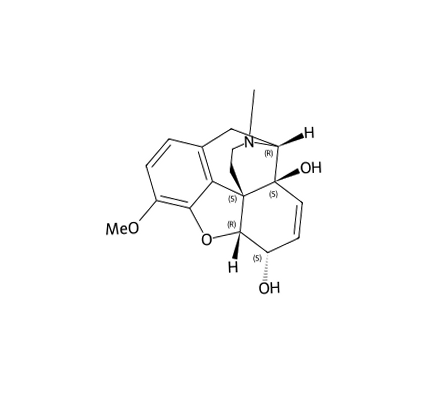 COc1ccc2c3c1O[C@H]1[C@@H](O)C=C[C@@]4(O)[C@@H](C2)N(C)CC[C@]314